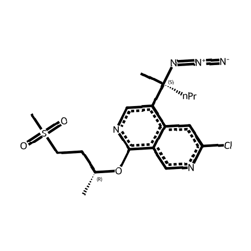 CCC[C@](C)(N=[N+]=[N-])c1cnc(O[C@H](C)CCS(C)(=O)=O)c2cnc(Cl)cc12